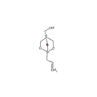 C=CC[Si]12OC[PH](CO)(CO1)CO2